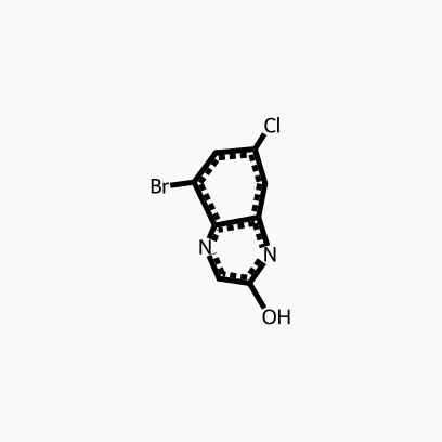 Oc1cnc2c(Br)cc(Cl)cc2n1